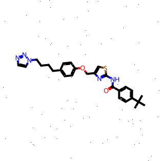 CC(C)(C)c1ccc(C(=O)Nc2nc(COc3ccc(CCCCn4ccnn4)cc3)cs2)cc1